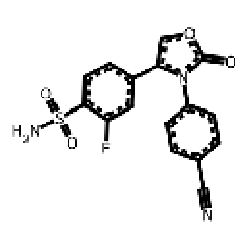 N#Cc1ccc(-n2c(-c3ccc(S(N)(=O)=O)c(F)c3)coc2=O)cc1